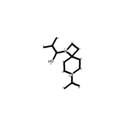 CC(C)C(O)N1CCC12CCN(C(C)C)CC2